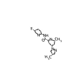 Cc1cnn(-c2cc(C)nc(C(=O)Nc3ccc(F)cn3)c2)c1